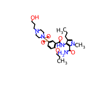 CCCOc1ccc(S(=O)(=O)N2CCN(CCCO)CC2)cc1C(=O)Nc1c(CCC)cn(C)c1C(N)=O